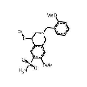 CCOC1CN(Cc2ccccc2OC)Cc2cc(OC)c(S(N)(=O)=O)cc21